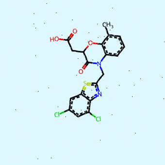 Cc1cccc2c1OC(CC(=O)O)C(=O)N2Cc1nc2c(Cl)cc(Cl)cc2s1